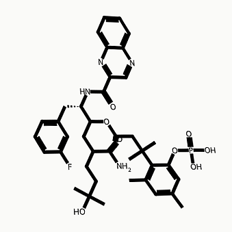 Cc1cc(C)c(C(C)(C)CC(=O)OC(CC(CCC(C)(C)O)C(N)=O)[C@H](Cc2cccc(F)c2)NC(=O)c2cnc3ccccc3n2)c(OP(=O)(O)O)c1